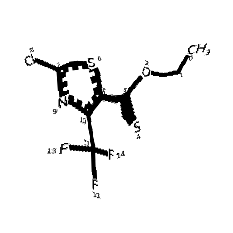 CCOC(=S)c1sc(Cl)nc1C(F)(F)F